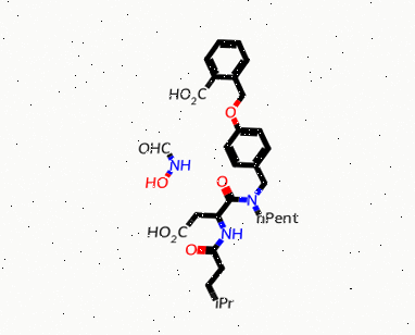 CCCCCN(Cc1ccc(OCc2ccccc2C(=O)O)cc1)C(=O)C(CC(=O)O)NC(=O)CCC(C)C.O=CNO